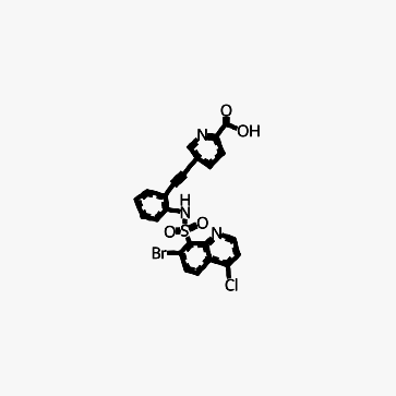 O=C(O)c1ccc(C#Cc2ccccc2NS(=O)(=O)c2c(Br)ccc3c(Cl)ccnc23)cn1